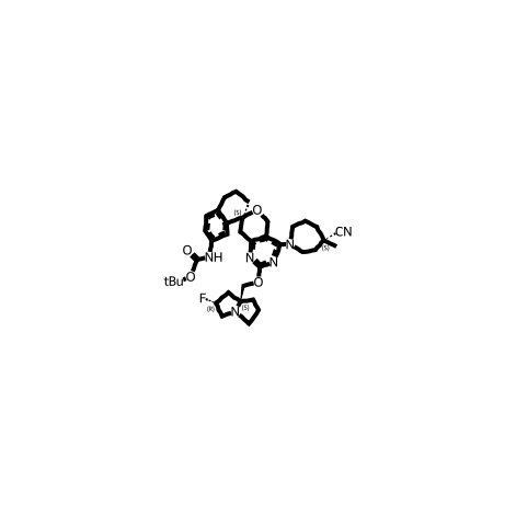 CC(C)(C)OC(=O)Nc1ccc2c(c1)[C@]1(CCC2)Cc2nc(OC[C@@]34CCCN3C[C@H](F)C4)nc(N3CCC[C@](C)(C#N)CC3)c2CO1